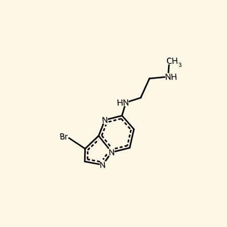 CNCCNc1ccn2ncc(Br)c2n1